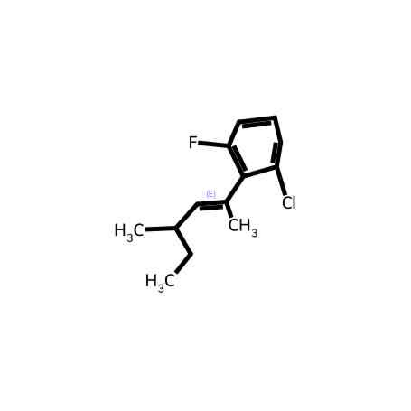 CCC(C)/C=C(\C)c1c(F)cccc1Cl